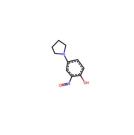 O=Nc1cc(N2CCCC2)ccc1O